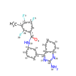 Cc1c(F)c(F)cc(C(=O)Nc2cccc(-c3nc(N)nc4ccccc34)c2)c1F